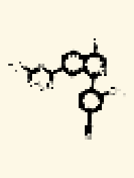 Cc1cc(C#N)ccc1-c1ncc(Cl)c2ccc(C(=O)N=C(N)N)cc12